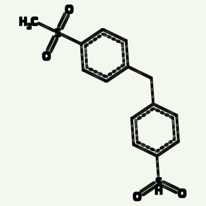 CS(=O)(=O)c1ccc(Cc2ccc([SH](=O)=O)cc2)cc1